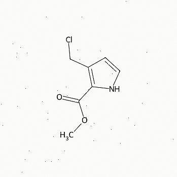 COC(=O)c1[nH]ccc1CCl